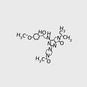 CCOc1ccc(C(O)CNc2nc(N3CCN(C(C)=O)CC3)nc3c2CN(C(C)C)C3=O)cc1